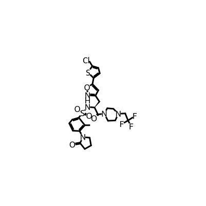 Cc1c(N2CCCC2=O)cccc1S(=O)(=O)N[C@@H](Cc1cc(-c2ccc(Cl)s2)on1)C(=O)N1CCN(CC(F)(F)F)CC1